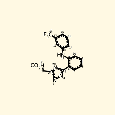 O=C(O)Cn1nnc(-c2ccccc2Nc2cccc(C(F)(F)F)c2)n1